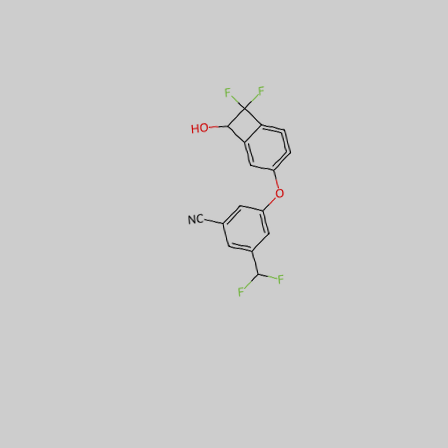 N#Cc1cc(OC2=C=C=C3C(=C2)C(O)C3(F)F)cc(C(F)F)c1